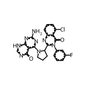 Nc1nc(N2CCCC2c2nc3cccc(Cl)c3c(=O)n2-c2cccc(F)c2)c2c(=O)nc[nH]c2n1